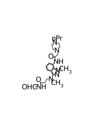 CCCN1CCN(CC(=O)Nc2cccc3c(N(C)CCC(=O)NC=O)nn(C)c23)CC1